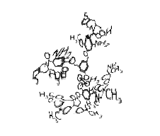 COc1cc(C(=O)N2Cc3ccsc3C[C@H]2CO)c(N)cc1OCc1cc(COc2cc(N)c(C(=O)N3Cc4ccsc4C[C@@H]3CO)cc2OC)cc(OS(=O)(=O)Oc2cc(C(=O)N(C)CC(C)(C)COCC(C)(C)CN)ccc2O[C@H]2C[C@@H](OC(C)=O)[C@@H](OC(C)=O)[C@@H](COC(C)=O)O2)c1